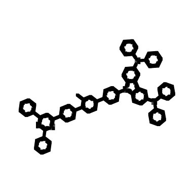 Cc1cc(-c2ccc(-n3c4ccc(N(c5ccccc5)c5ccccc5)cc4c4cc(N(c5ccccc5)c5ccccc5)ccc43)cc2)ccc1-c1ccc(-c2cc(-c3ccccc3)nc(-c3ccccc3)n2)cc1